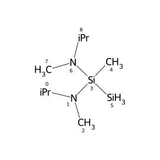 CC(C)N(C)[Si](C)([SiH3])N(C)C(C)C